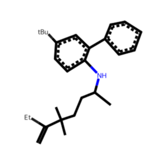 C=C(CC)C(C)(C)CCC(C)Nc1ccc(C(C)(C)C)cc1-c1ccccc1